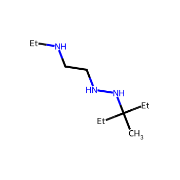 CCNCCNNC(C)(CC)CC